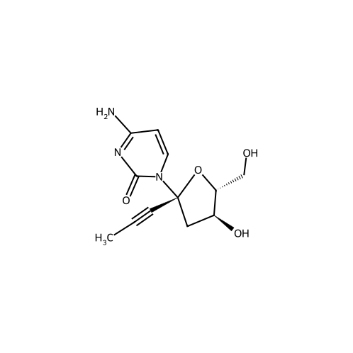 CC#C[C@]1(n2ccc(N)nc2=O)C[C@H](O)[C@@H](CO)O1